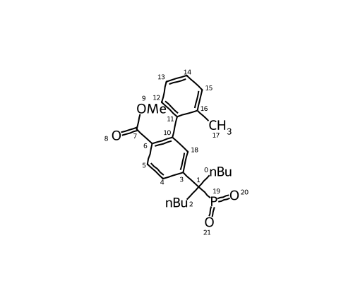 CCCCC(CCCC)(c1ccc(C(=O)OC)c(-c2ccccc2C)c1)P(=O)=O